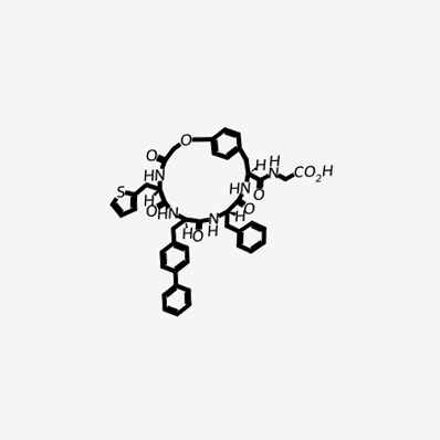 O=C(O)CNC(=O)[C@@H]1Cc2ccc(cc2)OCC(=O)N[C@@H](Cc2cccs2)C(=O)N[C@H](Cc2ccc(-c3ccccc3)cc2)C(=O)N[C@@H](Cc2ccccc2)C(=O)N1